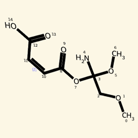 COCC(N)(OC)OC(=O)/C=C\C(=O)O